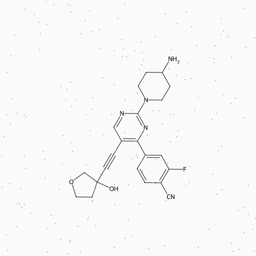 N#Cc1ccc(-c2nc(N3CCC(N)CC3)ncc2C#CC2(O)CCOC2)cc1F